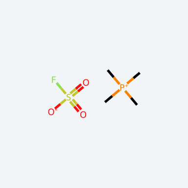 C[P+](C)(C)C.O=S(=O)([O-])F